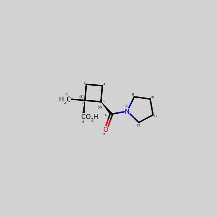 C[C@]1(C(=O)O)CC[C@H]1C(=O)N1CCCC1